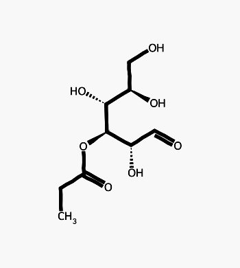 CCC(=O)O[C@@H]([C@H](O)[C@H](O)CO)[C@@H](O)C=O